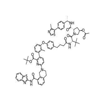 CC(=O)O[C@@H]1C[C@@H](C(=O)N[C@@H](C)c2ccc(-c3scnc3C)cc2)N(C(=O)[C@@H](NC(=O)CCCc2ccc(Oc3cccc(-c4ccc(N5CCc6cccc(C(=O)Nc7nc8ccccc8s7)c6C5)nc4C(=O)OC(C)(C)C)c3C)cc2)C(C)(C)C)C1